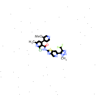 COc1cnccc1-c1cc(C)nc(Cl)c1C(=O)Nc1nc2cnc(-c3c(C(F)F)nnn3C)cc2s1